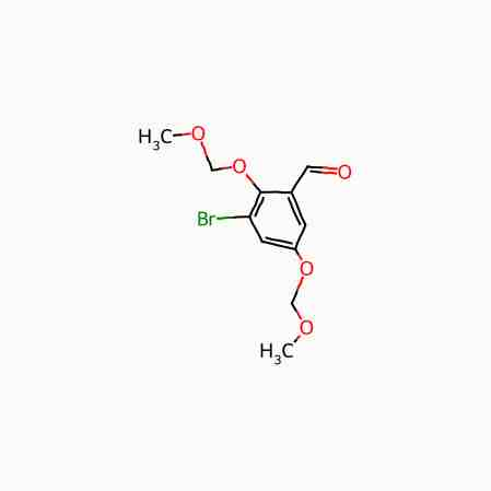 COCOc1cc(Br)c(OCOC)c(C=O)c1